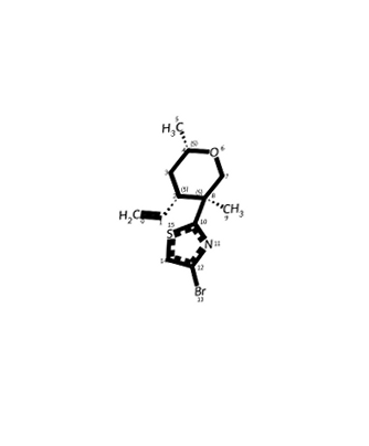 C=C[C@@H]1C[C@H](C)OC[C@@]1(C)c1nc(Br)cs1